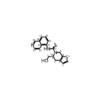 OC[C@@H]1Cc2ccsc2CN1C(=S)Nc1cccc2cnccc12